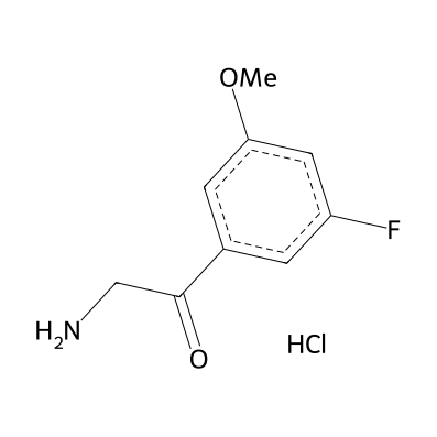 COc1cc(F)cc(C(=O)CN)c1.Cl